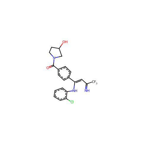 N=C(/C=C(\Nc1ccccc1Cl)c1ccc(C(=O)N2CCC(O)C2)cc1)C(F)(F)F